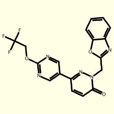 O=c1ccc(-c2cnc(OCC(F)(F)F)nc2)nn1Cc1nc2ccccc2o1